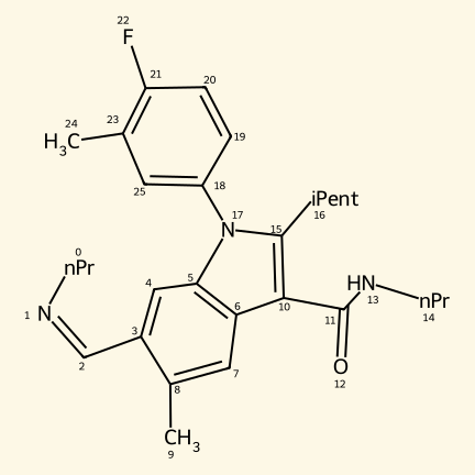 CCC/N=C\c1cc2c(cc1C)c(C(=O)NCCC)c(C(C)CCC)n2-c1ccc(F)c(C)c1